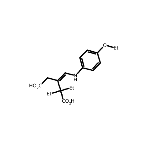 CCOc1ccc(NC=C(CC(=O)O)C(CC)(CC)C(=O)O)cc1